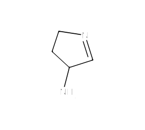 NC1C=NCC1